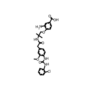 COc1cc(CC(=O)NC(C)(C)COc2ccc(C(=O)O)cc2N)ccc1NC(=O)Nc1ccccc1Cl